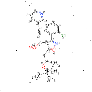 CC(Cc1onc(-c2ccccc2Cl)c1C(O)C#Cc1cccnc1)O[Si](C)(C)C